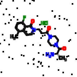 Cc1ccc(F)c2c(=O)n(CCC(=O)N3CCN(C(=O)[C@H](C)N)CC3)ccc12.Cl